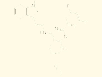 COC[C@@H]1COc2c(NCCc3c[nH]c4ccccc34)nc(-c3cc(F)cc(F)c3)nc2N1